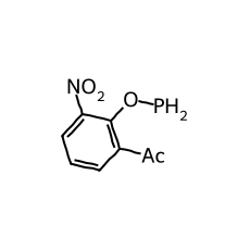 CC(=O)c1cccc([N+](=O)[O-])c1OP